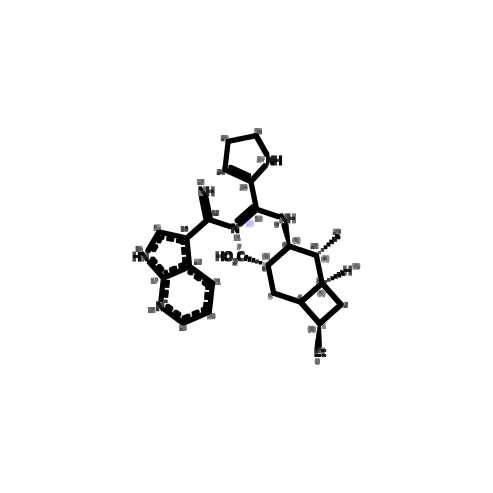 CC[C@@H]1C[C@H]2C1C[C@H](C(=O)O)[C@@H](N/C(=N/C(=N)c1c[nH]c3ncccc13)C1=CCCN1)[C@@H]2C